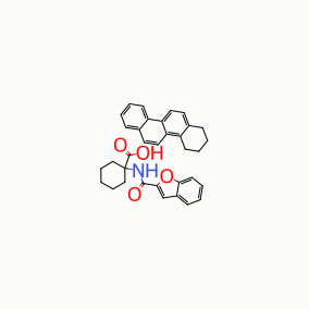 O=C(NC1(C(=O)O)CCCCC1)c1cc2ccccc2o1.c1ccc2c(c1)ccc1c3c(ccc12)CCCC3